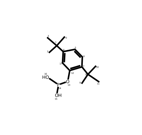 CC(C)(C)c1ccc(C(C)(C)C)c(OP(O)O)c1